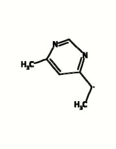 C[CH]c1cc(C)ncn1